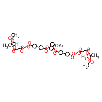 C=CC(=O)OCC(C)(C)COC(=O)CCC(=O)OCCOC(=O)C1CCC(C2CCC(C(=O)Oc3ccc(OC(=O)C4CCC(C5CCC(C(=O)OCCOC(=O)CCC(=O)OCC(C)(C)COC(=O)C=C)CC5)CC4)c4c(OC(C)=O)cccc34)CC2)CC1